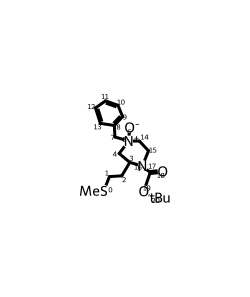 CSCCC1C[N+]([O-])(Cc2ccccc2)CCN1C(=O)OC(C)(C)C